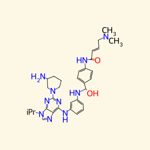 CC(C)n1cnc2c(Nc3cccc(NC(O)c4ccc(NC(=O)/C=C/CN(C)C)cc4)c3)nc(N3CCCC(N)C3)nc21